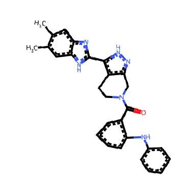 Cc1cc2nc(-c3[nH]nc4c3CCN(C(=O)c3ccccc3Nc3ccccc3)C4)[nH]c2cc1C